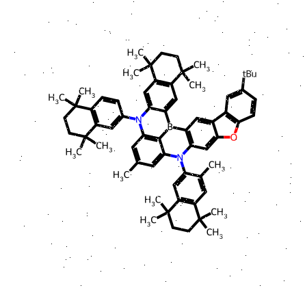 Cc1cc2c3c(c1)N(c1cc4c(cc1C)C(C)(C)CCC4(C)C)c1cc4oc5ccc(C(C)(C)C)cc5c4cc1B3c1cc3c(cc1N2c1ccc2c(c1)C(C)(C)CCC2(C)C)C(C)(C)CCC3(C)C